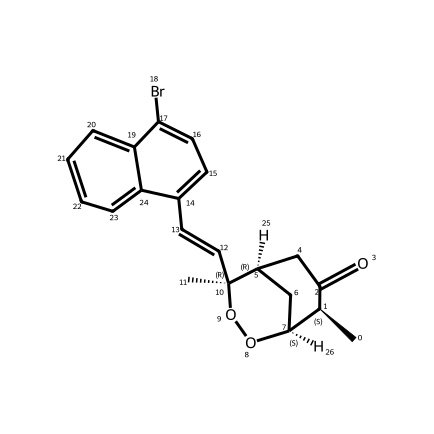 C[C@@H]1C(=O)C[C@H]2C[C@@H]1OO[C@@]2(C)C=Cc1ccc(Br)c2ccccc12